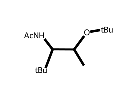 CC(=O)NC(C(C)OC(C)(C)C)C(C)(C)C